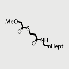 CCCCCCCCNC(=O)C=CSC(=O)COC